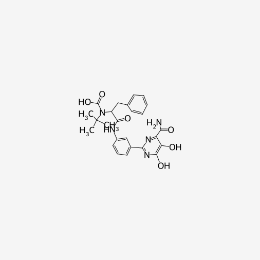 CC(C)(C)N(C(=O)O)C(Cc1ccccc1)C(=O)Nc1cccc(-c2nc(O)c(O)c(C(N)=O)n2)c1